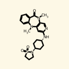 CN1C(=O)c2ccccc2N(C)c2cc(N[C@H]3CC[C@H](N4CCCS4(=O)=O)CC3)ncc21